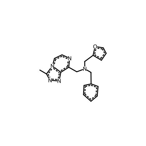 Cc1nnc2c(CN(Cc3ccccc3)Cc3ccco3)nccn12